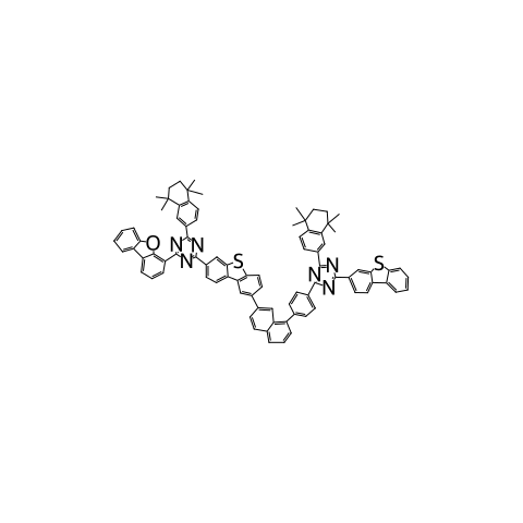 CC1(C)CCC(C)(C)c2cc(-c3nc(-c4ccc(-c5cccc6ccc(-c7ccc8sc9cc(-c%10nc(-c%11ccc%12c(c%11)C(C)(C)CCC%12(C)C)nc(-c%11cccc%12c%11oc%11ccccc%11%12)n%10)ccc9c8c7)cc56)cc4)nc(-c4ccc5c(c4)sc4ccccc45)n3)ccc21